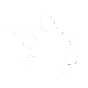 O=C(NCc1cccc(-c2cc(C(F)(F)F)cc(C(F)(F)F)c2)c1)C1CC[C@H](O)C1